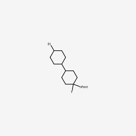 CCCCCC1(F)CCC(C2CCC(CC)CC2)CC1